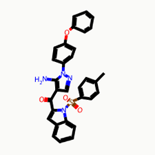 Cc1ccc(S(=O)(=O)n2c(C(=O)c3cnn(-c4ccc(Oc5ccccc5)cc4)c3N)cc3ccccc32)cc1